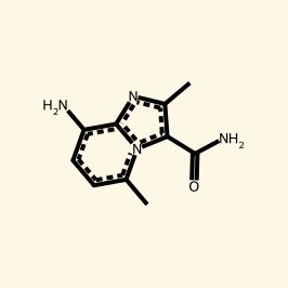 Cc1nc2c(N)ccc(C)n2c1C(N)=O